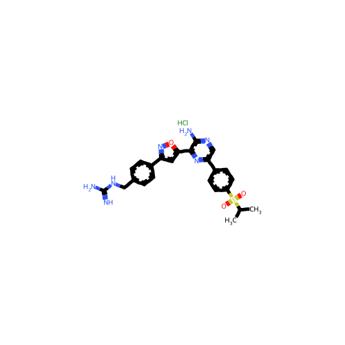 CC(C)S(=O)(=O)c1ccc(-c2cnc(N)c(-c3cc(-c4ccc(CNC(=N)N)cc4)no3)n2)cc1.Cl